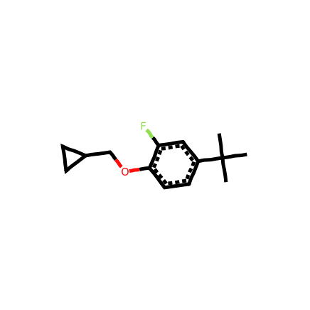 CC(C)(C)c1ccc(OCC2CC2)c(F)c1